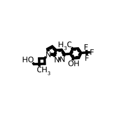 Cc1cc(C(F)(F)F)cc(O)c1-c1cc2ccn(C3CC(C)(CO)C3)c2nn1